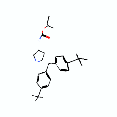 CC(C)OC(=O)N[C@H]1CN[C@@H](C(c2ccc(C(C)(C)C)cc2)c2ccc(C(C)(C)C)cc2)C1